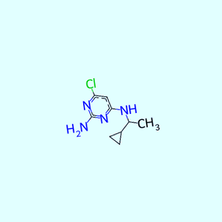 CC(Nc1cc(Cl)nc(N)n1)C1CC1